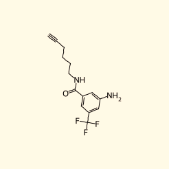 C#CCCCCNC(=O)c1cc(N)cc(C(F)(F)F)c1